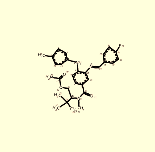 Cc1ccc(Nc2ccc(C(=O)N(C)C(COC(N)=O)C(C)(C)C)cc2N=Cc2ccc(F)cc2)cc1